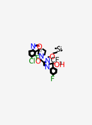 C[Si](C)(C)CCOCn1c(C(=O)N2CCC[C@@]3(C2)OC=Nc2ccc(Cl)c(F)c23)cnc1C(O)(c1ccc(F)cc1)C(F)(F)F